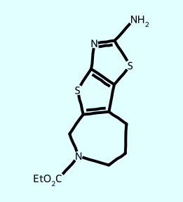 CCOC(=O)N1CCCc2c(sc3nc(N)sc23)C1